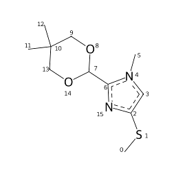 CSc1cn(C)c(C2OCC(C)(C)CO2)n1